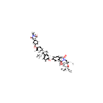 CC[Si](C)(C)O[Si](C)(C)CN1C(=O)c2ccc(Oc3ccc(C(C)(C)c4ccc(Oc5ccc6c(c5)C(=O)N(C)C6=O)cc4)cc3)cc2C1=O